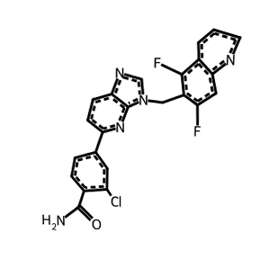 NC(=O)c1ccc(-c2ccc3ncn(Cc4c(F)cc5ncccc5c4F)c3n2)cc1Cl